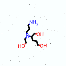 NCCCN(CCO)C(CO)CCCO